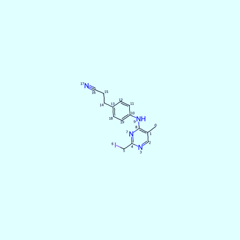 Cc1cnc(CI)nc1Nc1ccc(CCC#N)cc1